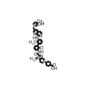 Cc1c(Nc2nccc3cc(CN4CC[C@@](C)(O)C4)cnc23)cccc1-c1cccc(NC(=O)c2nc3c(n2C)CCN(C2CCC(C(=O)O)CC2)C3)c1Cl